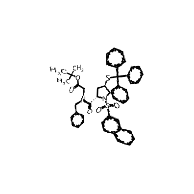 CC(C)(C)OC(=O)CN(Cc1ccccc1)C(=O)[C@@H]1C[C@@H](SC(c2ccccc2)(c2ccccc2)c2ccccc2)CN1S(=O)(=O)c1ccc2ccccc2c1